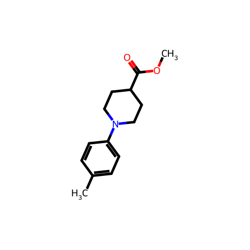 COC(=O)C1CCN(c2ccc(C)cc2)CC1